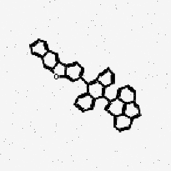 c1ccc2cc3c(cc2c1)oc1cc(-c2c4ccccc4c(-c4cc5cccc6ccc7cccc4c7c65)c4ccccc24)ccc13